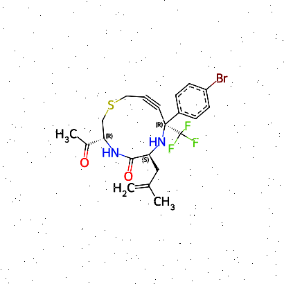 C=C(C)C[C@@H]1N[C@@](c2ccc(Br)cc2)(C(F)(F)F)C#CCSC[C@@H](C(C)=O)NC1=O